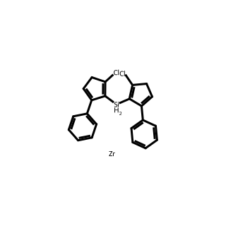 ClC1=C([SiH2]C2=C(Cl)CC=C2c2ccccc2)C(c2ccccc2)=CC1.[Zr]